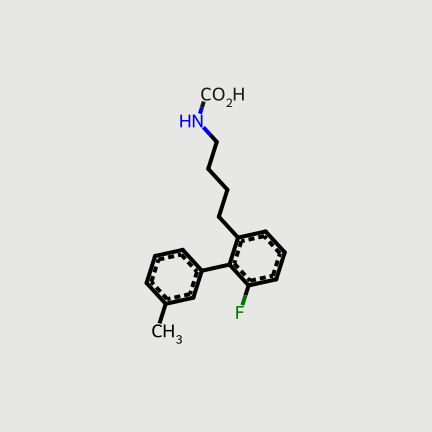 Cc1cccc(-c2c(F)cccc2CCCCNC(=O)O)c1